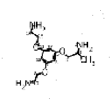 CC(N)COc1cc(OCCN)cc(OCCN)c1